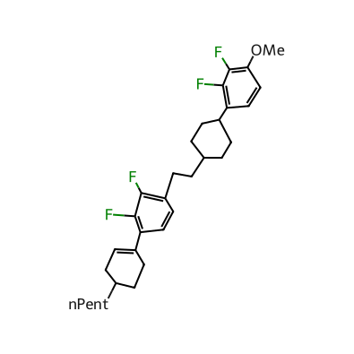 CCCCCC1CC=C(c2ccc(CCC3CCC(c4ccc(OC)c(F)c4F)CC3)c(F)c2F)CC1